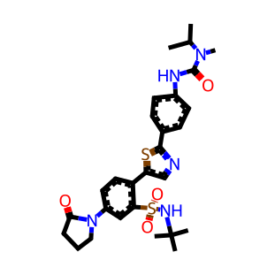 CC(C)N(C)C(=O)Nc1ccc(-c2ncc(-c3ccc(N4CCCC4=O)cc3S(=O)(=O)NC(C)(C)C)s2)cc1